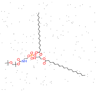 CCCCCCCCCCCCCCCCCC(=O)OCC(COP(=O)(O)OCCNC(=O)OC(C)(C)COC(C)(C)C)OC(=O)CCCCCCCCCCCCCCCCC